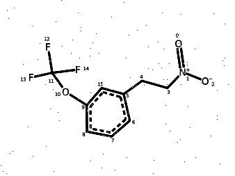 O=[N+]([O-])CCc1cccc(OC(F)(F)F)c1